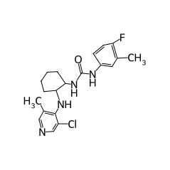 Cc1cc(NC(=O)NC2CCCCC2Nc2c(C)cncc2Cl)ccc1F